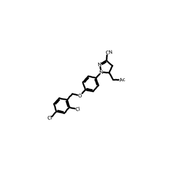 CC(=O)CC1CC(C#N)=NN1c1ccc(OCc2ccc(Cl)cc2Cl)cc1